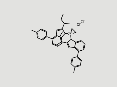 CCC(C)C1=Cc2c(-c3ccc(C)cc3)cccc2[CH]1[Zr+2]1([CH]2C(C(C)CC)=Cc3c(-c4ccc(C)cc4)cccc32)[CH2][CH2]1.[Cl-].[Cl-]